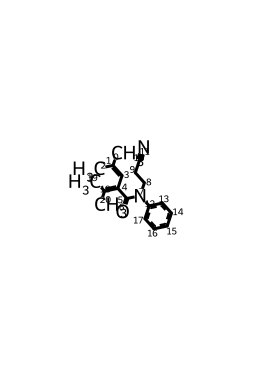 CC(C)=CC(C(=O)N(CCC#N)c1ccccc1)=C(C)C